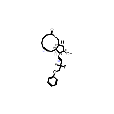 O=C1CCC/C=C\C[C@H]2[C@@H](CO1)C[C@@H](O)[C@@H]2/C=C/C(F)(F)COc1ccccc1